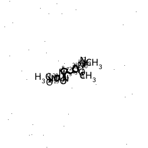 COc1cc(/C=C2\CCCN3C2=NOC2CN(C(C)=O)CC23)ccc1-n1cnc(C)c1